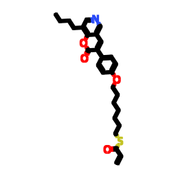 C=CC(=O)SCCCCCCCOc1ccc(-c2cc3cncc(CCCC)c3oc2=O)cc1